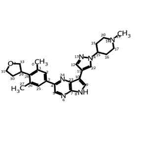 Cc1cc(-c2cnc3[nH]cc(-c4cnn(C5CCN(C)CC5)c4)c3n2)cc(C)c1C1CCOC1